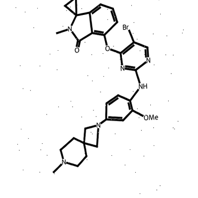 COc1cc(N2CC3(CCN(C)CC3)C2)ccc1Nc1ncc(Br)c(Oc2cccc3c2C(=O)N(C)C32CC2)n1